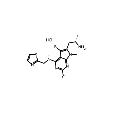 C[C@H](N)Cc1c(F)c2c(NCc3nccs3)nc(Cl)nc2n1C.Cl